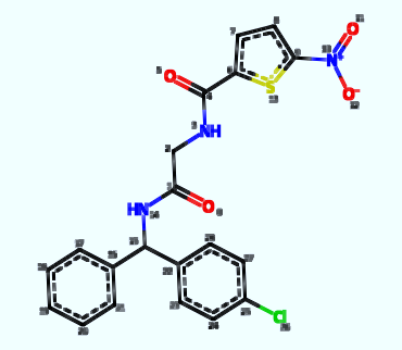 O=C(CNC(=O)c1ccc([N+](=O)[O-])s1)NC(c1ccccc1)c1ccc(Cl)cc1